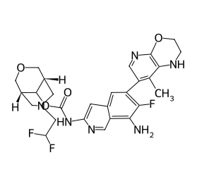 Cc1c(-c2cc3cc(NC(=O)OC4[C@@H]5COC[C@H]4CN(CC(F)F)C5)ncc3c(N)c2F)cnc2c1NCCO2